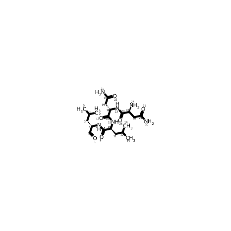 CC(C)C[C@@H]([C]=O)NC(=O)[C@H](CC(C)C)NC(=O)[C@H](CC(N)=O)NC(=O)[C@@H](N)CC(N)=O